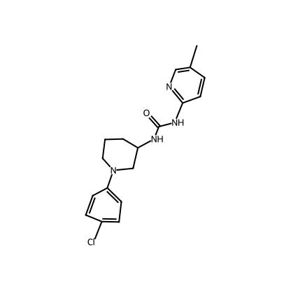 Cc1ccc(NC(=O)NC2CCCN(c3ccc(Cl)cc3)C2)nc1